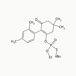 CCCCSP(=O)(OCC)OC1=C(c2ccc(C)cc2C)C(=O)CC(C)(C)C1